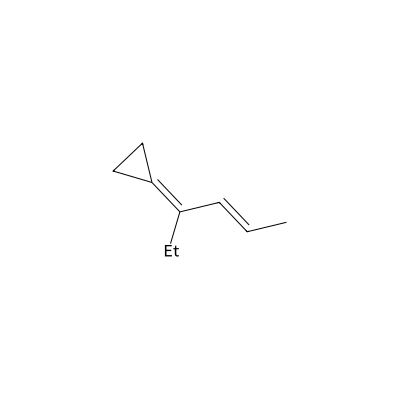 CC=CC(CC)=C1CC1